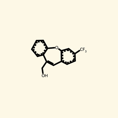 OCC1=Cc2ccc(C(F)(F)F)cc2Oc2ccccc21